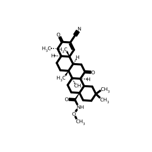 CONC(=O)[C@]12CCC(C)(C)CC1[C@@H]1C(=O)C[C@@H]3[C@@]4(C)C=C(C#N)C(=O)[C@@H](C)[C@@H]4CC[C@@]3(C)[C@]1(C)CC2